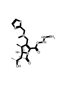 BNPOC(=O)C1=C(CN(C)Cc2nccs2)[C@H](C)[C@@H]2[C@@H]([C@@H](C)O)C(=O)N12